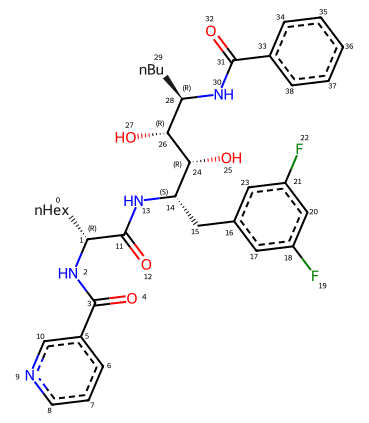 CCCCCC[C@@H](NC(=O)c1cccnc1)C(=O)N[C@@H](Cc1cc(F)cc(F)c1)[C@@H](O)[C@H](O)[C@@H](CCCC)NC(=O)c1ccccc1